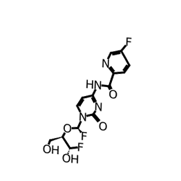 O=C(Nc1ccn([C@@H](F)O[C@H](CO)[C@@H](O)F)c(=O)n1)c1ccc(F)cn1